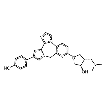 CN(C)C[C@H]1CN(c2ccc3c(n2)Cn2cc(-c4ccc(C#N)cc4)cc2-c2nccn2-3)C[C@@H]1O